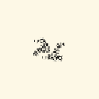 Cc1cc2nc3n(c2cc1C)C[C@@](NC(=O)c1ccc(-n2cnnc2)cc1Cl)(c1ccccc1)CC3.Cc1ccc2c(c1)nc1n2C[C@@](NC(=O)c2ccc(-n3cnc(C)n3)cc2Cl)(c2ccccc2)CC1